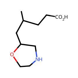 CC(CCC(=O)O)CC1CNCCO1